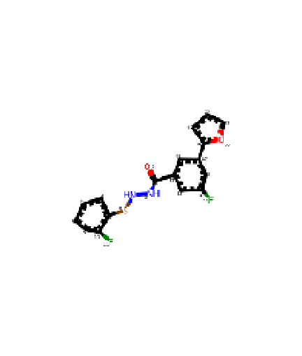 O=C(NNSc1ccccc1F)c1cc(F)cc(-c2ccco2)c1